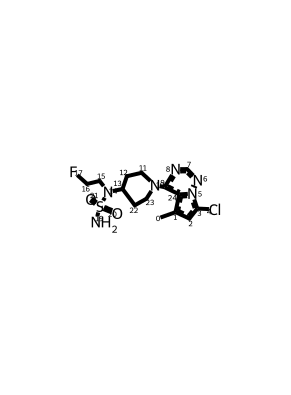 Cc1cc(Cl)n2ncnc(N3CCC(N(CCF)S(N)(=O)=O)CC3)c12